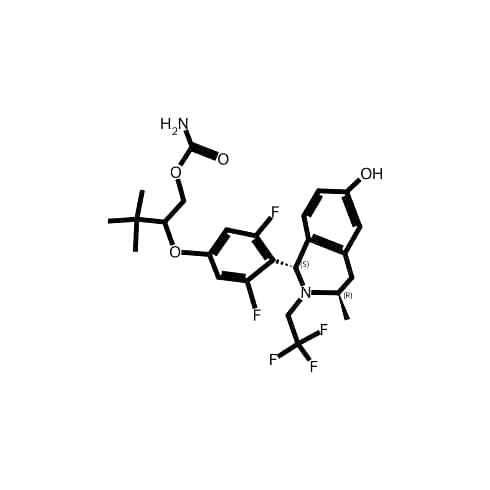 C[C@@H]1Cc2cc(O)ccc2[C@@H](c2c(F)cc(OC(COC(N)=O)C(C)(C)C)cc2F)N1CC(F)(F)F